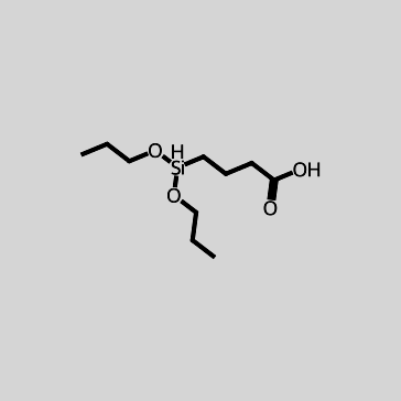 CCCO[SiH](CCCC(=O)O)OCCC